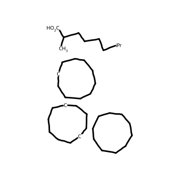 C1CCCCCCCCC1.C1CCCCCCCCC1.C1CCCCCCCCC1.CC(C)CCCCC(C)C(=O)O